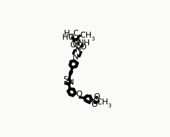 CC(C)[C@@H](NS(=O)(=O)N1CCN(c2ccc(C#Cc3nc(-c4cccc(OCc5ccc(S(C)(=O)=O)cc5)c4)cs3)cc2)CC1)C(=O)O